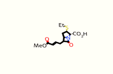 CCS[C@@H]1CC2C(C/C=C/C(=O)OC)C(=O)N2[C@H]1C(=O)O